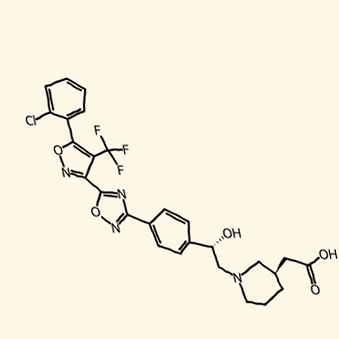 O=C(O)C[C@H]1CCCN(C[C@@H](O)c2ccc(-c3noc(-c4noc(-c5ccccc5Cl)c4C(F)(F)F)n3)cc2)C1